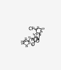 O=c1onc(Cc2c(F)cccc2Cl)n1CC12CCC(CC1)C2